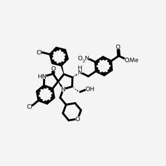 COC(=O)c1ccc(CN[C@@H]2[C@H](CO)N(CC3CCOCC3)[C@@]3(C(=O)Nc4cc(Cl)ccc43)[C@H]2c2cccc(Cl)c2)c([N+](=O)[O-])c1